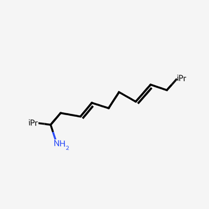 CC(C)CC=CCCC=CCC(N)C(C)C